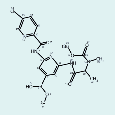 [2H]OB(O)c1cc(NC(=O)c2ccc(Cl)cn2)nc(NC(=O)C(C)N(C)C(=O)OC(C)(C)C)c1